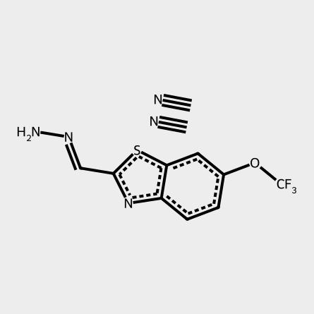 C#N.C#N.NN=Cc1nc2ccc(OC(F)(F)F)cc2s1